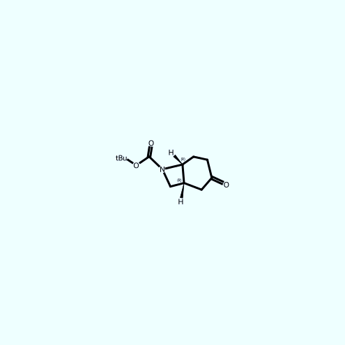 CC(C)(C)OC(=O)N1C[C@H]2CC(=O)CC[C@H]21